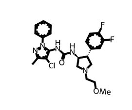 COCCN1C[C@@H](NC(=O)Nc2c(Cl)c(C)nn2-c2ccccc2)[C@H](c2ccc(F)c(F)c2)C1